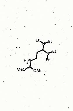 CCN(CC)C(CC[SiH2]C(OC)OC)N(CC)CC